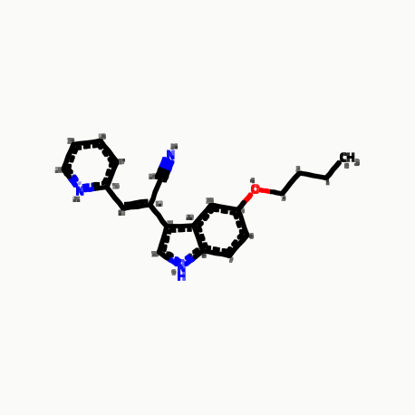 CCCCOc1ccc2[nH]cc(/C(C#N)=C/c3ccccn3)c2c1